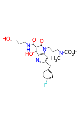 CN(CCCn1c(=O)c(C(=O)NCCCCO)c(O)c2ncc(Cc3ccc(F)cc3)cc21)C(=O)O